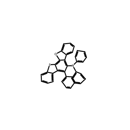 c1ccc(-c2c(N(c3ccccc3)c3ccccc3)c3c4ccccc4oc3c3sc4ccccc4c23)cc1